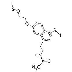 CC(=O)NCCc1cn(SI)c2ccc(OCCOSI)cc12